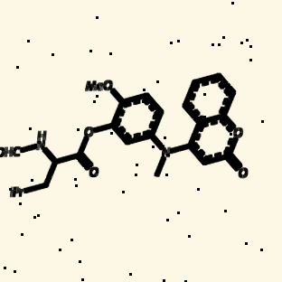 COc1ccc(N(C)c2cc(=O)oc3ccccc23)cc1OC(=O)C(CC(C)C)NC=O